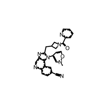 CN1C=C(n2c(CC3CN(C(=O)c4ccccn4)C3)nc3cnc4ccc(C#N)cc4c32)C=CO1